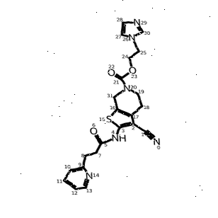 N#Cc1c(NC(=O)CCc2ccccn2)sc2c1CCN(C(=O)OCCn1ccnc1)C2